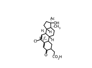 CC(=O)[C@@]1(O)CC[C@H]2[C@@H]3C=C(Cl)C4=CC(=O)C(CC(=O)O)C[C@]4(C)[C@H]3CC[C@@]21C